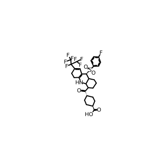 O=C(O)[C@H]1CC[C@H](C(=O)C2CCCC3C2NC2=C(C=C(C(F)(C(F)(F)F)C(F)(F)F)CC2)[C@H]3S(=O)(=O)c2ccc(F)cc2)CC1